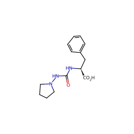 O=C(N[C@@H](Cc1ccccc1)C(=O)O)NN1CCCC1